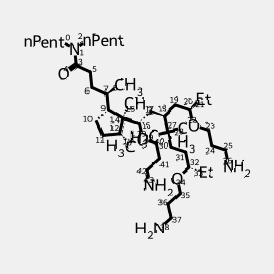 CCCCCN(CCCCC)C(=O)CC[C@@H](C)[C@H]1CC[C@@H](C)[C@]1(C)[C@H](C[C@@H](C[C@@H](CC)OCCCN)C(C)(C)CC[C@H](CC)OCCCN)OCCCN